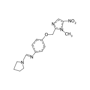 Cn1c([N+](=O)[O-])cnc1COc1ccc(/N=C/N2CCCC2)cc1